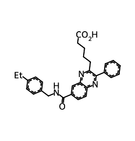 CCc1ccc(CNC(=O)c2ccc3nc(-c4ccccc4)c(CCCCC(=O)O)nc3c2)cc1